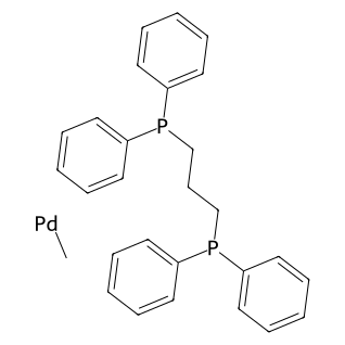 [CH3][Pd].c1ccc(P(CCCP(c2ccccc2)c2ccccc2)c2ccccc2)cc1